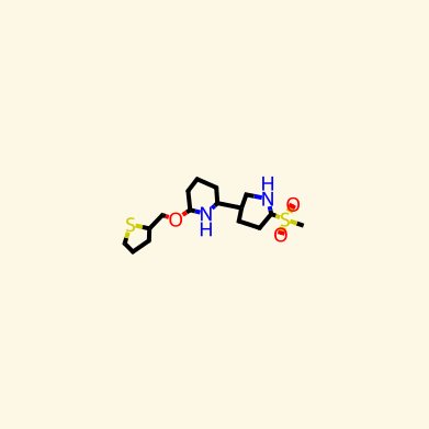 CS(=O)(=O)C1CCC(C2CCCC(OCC3CCCS3)N2)CN1